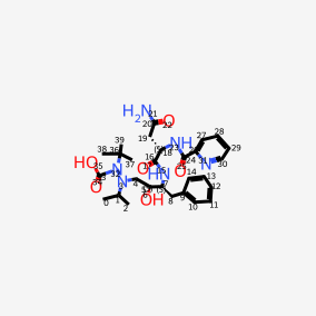 CC(C)N(C[C@H](O)[C@H](Cc1ccccc1)NC(=O)[C@H](CC(N)=O)NC(=O)c1ccccn1)N(C(=O)O)C(C)(C)C